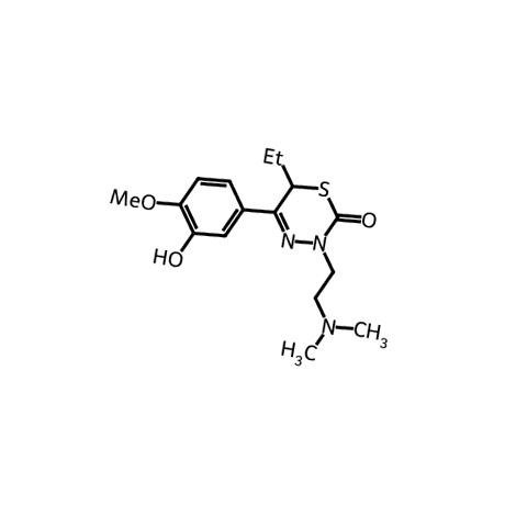 CCC1SC(=O)N(CCN(C)C)N=C1c1ccc(OC)c(O)c1